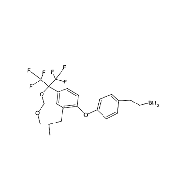 BCCc1ccc(Oc2ccc(C(OCOC)(C(F)(F)F)C(F)(F)F)cc2CCC)cc1